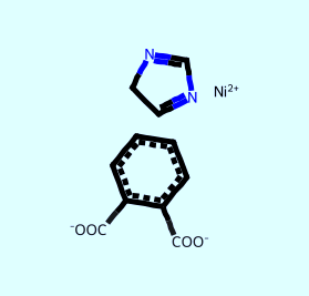 C1=NC=NC1.O=C([O-])c1ccccc1C(=O)[O-].[Ni+2]